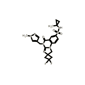 Cn1cc(CN2C(=O)c3cc(S(=O)(=O)NC4(C)CC4)ccc3N3CC4(CC(F)(F)C4)N=C23)cn1